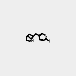 Ic1ccc(CC2CC3CCN2CC3)cn1